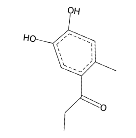 CCC(=O)c1cc(O)c(O)cc1C